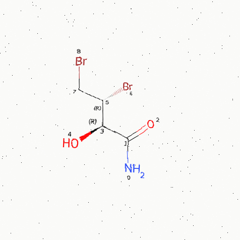 NC(=O)[C@@H](O)[C@@H](Br)CBr